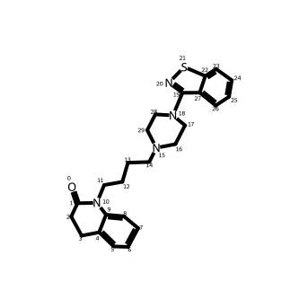 O=C1CCc2ccccc2N1CCCCN1CCN(c2nsc3ccccc23)CC1